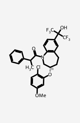 COc1ccc(Cl)c(O[C@H]2CCc3cc(C(O)(C(F)(F)F)C(F)(F)F)ccc3N(C(=O)C(C)c3ccccc3)C2)c1